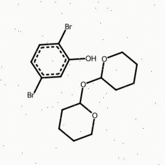 C1CCC(OC2CCCCO2)OC1.Oc1cc(Br)ccc1Br